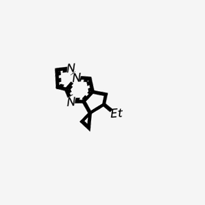 CCC1Cc2cn3nccc3nc2C12CC2